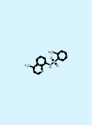 Nc1ccccc1S(=O)(=O)Nc1cccc2c(C(F)(F)F)ccnc12